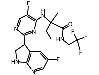 CCC(C)(Nc1nc(C2CNc3ncc(F)cc32)ncc1F)C(=O)NCC(F)(F)F